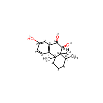 CC1CCCC2(C)c3ccc(O)cc3C(=O)C(=O)C12C